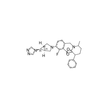 CC1CCC(c2ccccc2)S(=O)(=O)N1Cc1ccc(N2C[C@@H]3[C@H](C2)[C@@H]3n2cnnc2)c(F)c1F